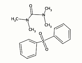 CN(C)C(=O)N(C)C.O=S(=O)(c1ccccc1)c1ccccc1